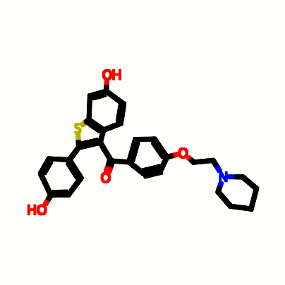 O=C(c1c#cc(OCCN2CCCCC2)cc1)c1c(-c2ccc(O)cc2)sc2cc(O)ccc12